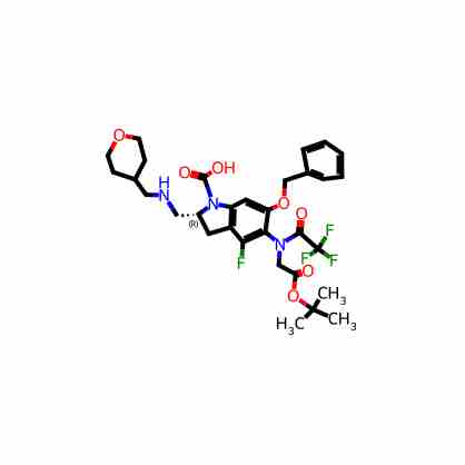 CC(C)(C)OC(=O)CN(C(=O)C(F)(F)F)c1c(OCc2ccccc2)cc2c(c1F)C[C@H](CNCC1CCOCC1)N2C(=O)O